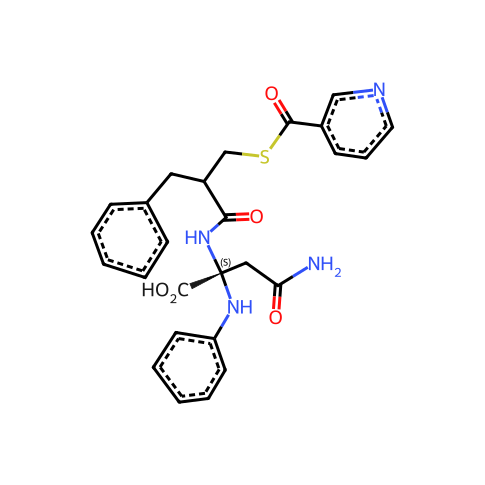 NC(=O)C[C@@](NC(=O)C(CSC(=O)c1cccnc1)Cc1ccccc1)(Nc1ccccc1)C(=O)O